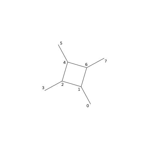 CC1C(C)C(C)C1C